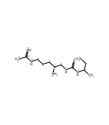 CC(CN)NC(=O)NC[C@@H](N)CCCNC(=N)N